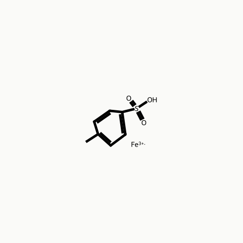 Cc1ccc(S(=O)(=O)O)cc1.[Fe+3]